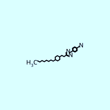 CCCCCCCCCC1CCC(CCc2cnc(-c3ccc(C#N)cc3)nc2)CC1